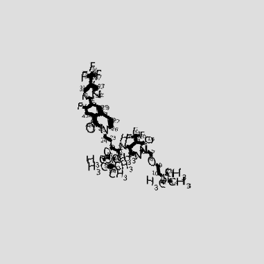 C[C@H](Nc1cnn(COCC[Si](C)(C)C)c(=O)c1C(F)(F)F)[C@H](CCn1ccc2cc(-c3ncc(C(F)(F)F)cn3)c(F)cc2c1=O)O[Si](C)(C)C(C)(C)C